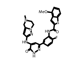 COc1cccc2sc(C(=O)Nc3cc(-c4cc(Nc5cc6n(n5)CCN(C)C6)c(=O)[nH]n4)ccc3F)cc12